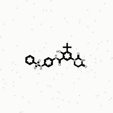 CC(C)(C)c1cc(N2CCC(=O)NC2=O)cc(C(=O)Nc2ccc(NS(=O)(=O)c3ccccc3)cc2)c1O